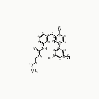 COCCOC(=O)Nc1cccc(Cc2nn(-c3cc(F)cc(Cl)c3)ccc2=O)c1